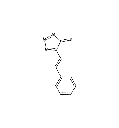 S=C1N=NN=C1C=Cc1ccccc1